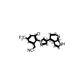 N#CCc1cc(C(F)(F)F)cc(Cl)c1-n1cc(-c2ccnc3[nH]ccc23)cn1